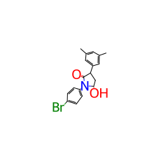 Cc1cc(C)cc(C2CC(O)N(c3ccc(Br)cc3)C2=O)c1